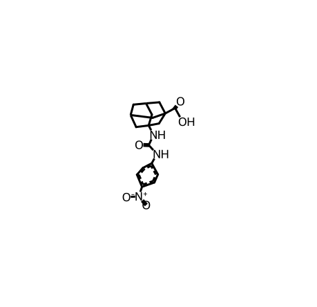 O=C(Nc1ccc([N+](=O)[O-])cc1)NC12CC3CC(C1)CC(C(=O)O)(C3)C2